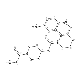 COc1ccc2ncc3c(c2c1)N(C(=O)CC1CCN(C(=O)OC(C)(C)C)CC1)CCC3